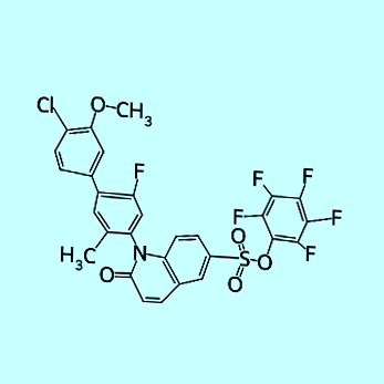 COc1cc(-c2cc(C)c(-n3c(=O)ccc4cc(S(=O)(=O)Oc5c(F)c(F)c(F)c(F)c5F)ccc43)cc2F)ccc1Cl